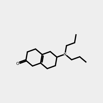 CCCN(CCC)C1CCC2=C(CCC(=O)C2)C1